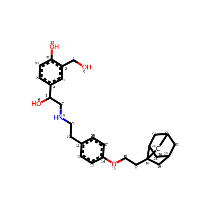 OCc1cc(C(O)CNCCc2ccc(OCCC34CC5CC(CC3C5)C4)cc2)ccc1O